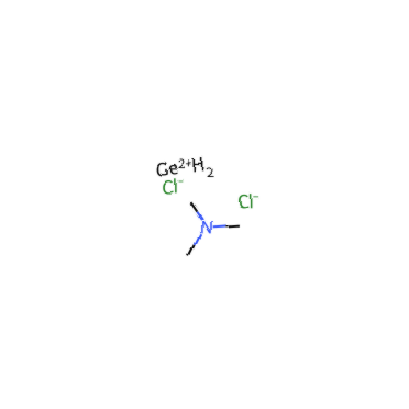 CN(C)C.[Cl-].[Cl-].[GeH2+2]